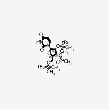 CS(=O)O[C@H]1[C@@H](O[Si](C)(C)C(C)(C)C)[C@H](n2ccc(=O)[nH]c2=O)O[C@@H]1CO[Si](C)(C)C(C)(C)C